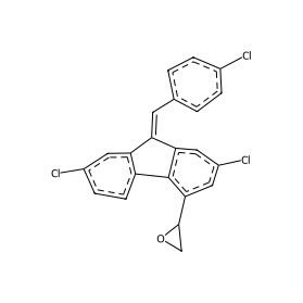 Clc1ccc(C=C2c3cc(Cl)ccc3-c3c2cc(Cl)cc3C2CO2)cc1